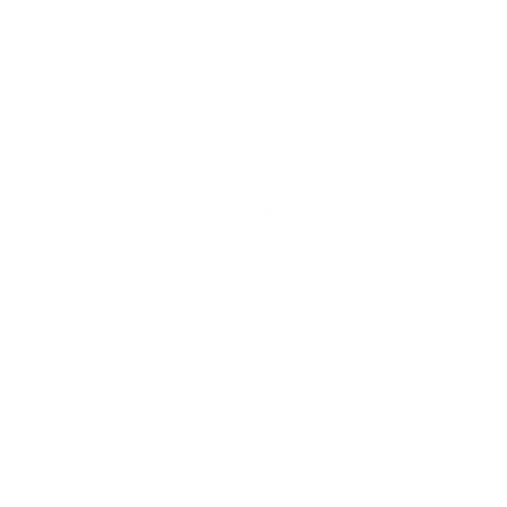 CCOc1ccc(C(F)(F)F)cc1SCl